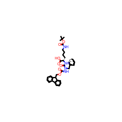 CC(C)(C)OC(=O)NCCCC[C@H](NC(=O)N(Cc1ccccc1)NC(=O)OCC1c2ccccc2-c2ccccc21)C(=O)O